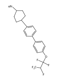 CCCC1CCC(c2ccc(-c3ccc(OC(F)(F)C(F)C(F)(F)F)cc3)cc2)CC1